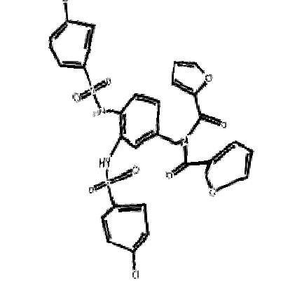 O=C(c1ccco1)N(C(=O)c1ccco1)c1ccc(NS(=O)(=O)c2ccc(Cl)cc2)c(NS(=O)(=O)c2ccc(Cl)cc2)c1